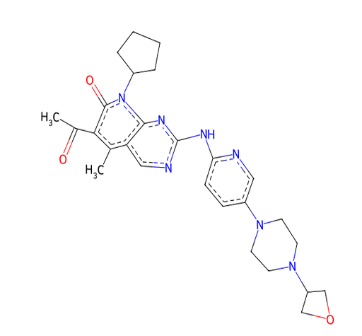 CC(=O)c1c(C)c2cnc(Nc3ccc(N4CCN(C5COC5)CC4)cn3)nc2n(C2CCCC2)c1=O